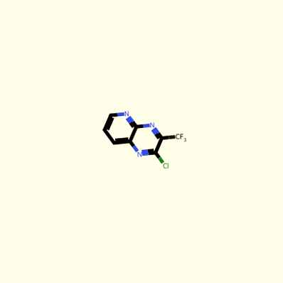 FC(F)(F)c1nc2ncccc2nc1Cl